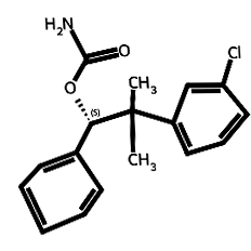 CC(C)(c1cccc(Cl)c1)[C@@H](OC(N)=O)c1ccccc1